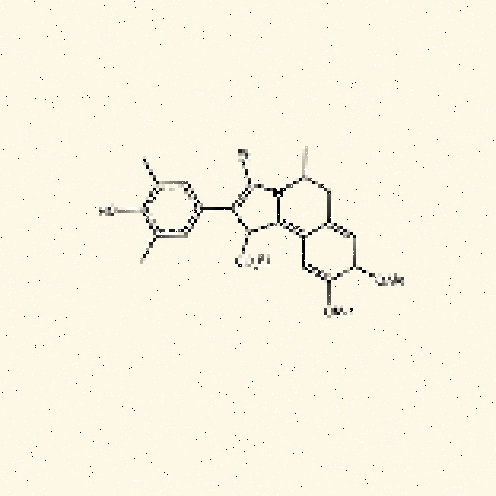 CCOC(=O)C1C(c2cc(C)c(O)c(C)c2)=C(CC)N2C1=C1C=C(OC)C(OC)C=C1CC2C